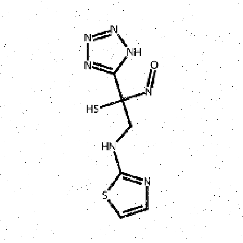 O=NC(S)(CNc1nccs1)c1nnn[nH]1